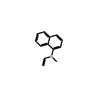 C=C[Si](C)c1cccc2ccccc12